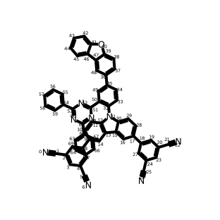 N#Cc1cc(C#N)cc(-c2ccc3c(c2)c2cc(-c4cc(C#N)cc(C#N)c4)ccc2n3-c2ccc(-c3ccc4oc5ccccc5c4c3)cc2-c2nc(-c3ccccc3)nc(-c3ccccc3)n2)c1